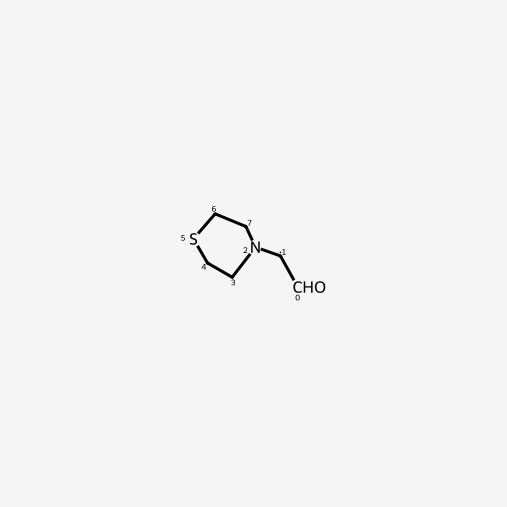 O=C[CH]N1CCSCC1